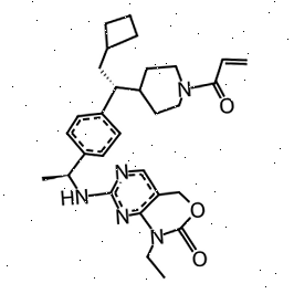 C=CC(=O)N1CCC([C@@H](CC2CCC2)c2ccc([C@H](C)Nc3ncc4c(n3)N(CC)C(=O)OC4)cc2)CC1